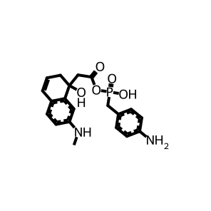 CNc1ccc2c(c1)C(O)(CC(=O)OP(=O)(O)Cc1ccc(N)cc1)CC=C2